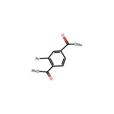 COC(=O)c1ccc(C(=O)OC)c(C(C)=O)c1